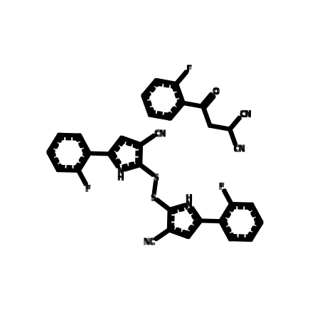 N#CC(C#N)CC(=O)c1ccccc1F.N#Cc1cc(-c2ccccc2F)[nH]c1SSc1[nH]c(-c2ccccc2F)cc1C#N